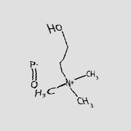 C[N+](C)(C)CCO.O=[P]